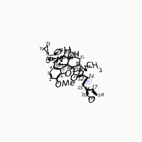 COc1ccc2c3c1O[C@H]1[C@H](N(C)C(=O)/C=C/c4ccoc4)CC[C@@]4(O)[C@@H](C2)N(S(=O)(=O)C2CC2)CCC314